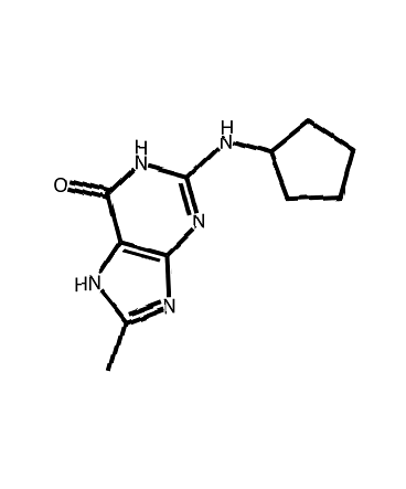 Cc1nc2nc(NC3CCCC3)[nH]c(=O)c2[nH]1